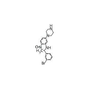 CC(Nc1cc(N2CCNCC2)ccc1N=O)c1cccc(Br)c1